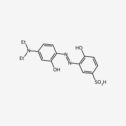 CCN(CC)c1ccc(/N=N/c2cc(S(=O)(=O)O)ccc2O)c(O)c1